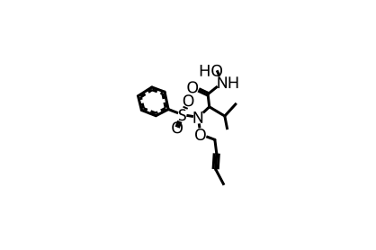 CC#CCON(C(C(=O)NO)C(C)C)S(=O)(=O)c1ccccc1